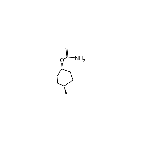 C=C(N)O[C@H]1CC[C@@H](C)CC1